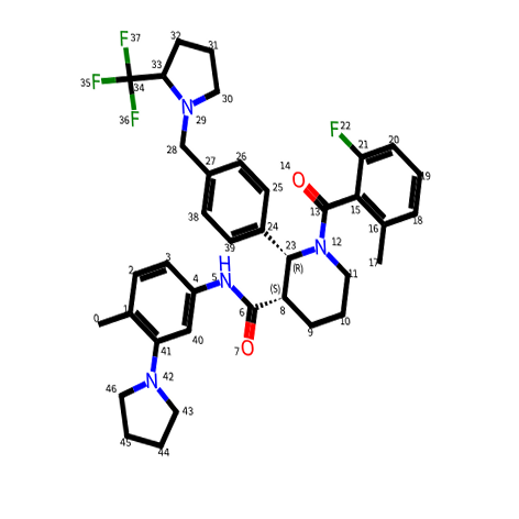 Cc1ccc(NC(=O)[C@H]2CCCN(C(=O)c3c(C)cccc3F)[C@H]2c2ccc(CN3CCCC3C(F)(F)F)cc2)cc1N1CCCC1